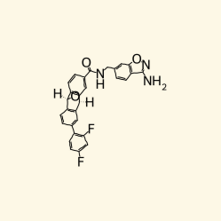 Nc1noc2cc(CNC(=O)c3ccc4c(c3)[C@@H]3O[C@H]4c4ccc(-c5ccc(F)cc5F)cc43)ccc12